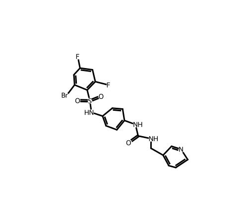 O=C(NCc1cccnc1)Nc1ccc(NS(=O)(=O)c2c(F)cc(F)cc2Br)cc1